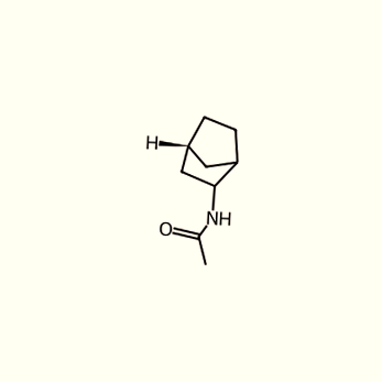 CC(=O)NC1C[C@@H]2CCC1C2